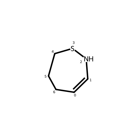 C1=CNSCCC1